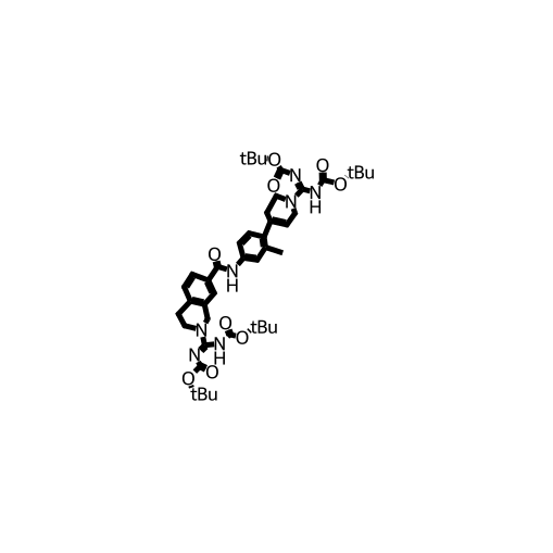 Cc1cc(NC(=O)c2ccc3c(c2)CN(/C(=N/C(=O)OC(C)(C)C)NC(=O)OC(C)(C)C)CC3)ccc1C1=CCN(/C(=N\C(=O)OC(C)(C)C)NC(=O)OC(C)(C)C)CC1